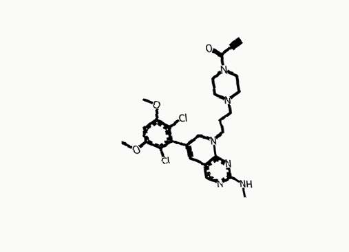 C#CC(=O)N1CCN(CCCN2CC(c3c(Cl)c(OC)cc(OC)c3Cl)=Cc3cnc(NC)nc32)CC1